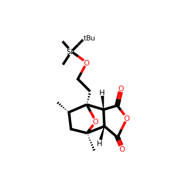 C[C@H]1C[C@@]2(C)O[C@]1(CCO[Si](C)(C)C(C)(C)C)[C@@H]1C(=O)OC(=O)[C@@H]12